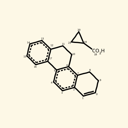 C1=Cc2ccc3c(c2CC1)CCc1ccccc1-3.O=C(O)C1CC1